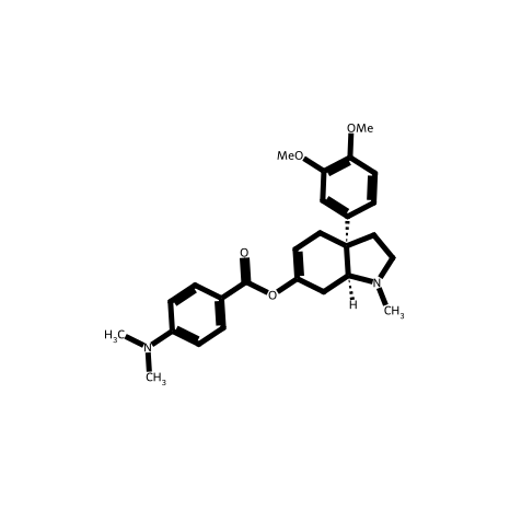 COc1ccc([C@@]23CC=C(OC(=O)c4ccc(N(C)C)cc4)C[C@@H]2N(C)CC3)cc1OC